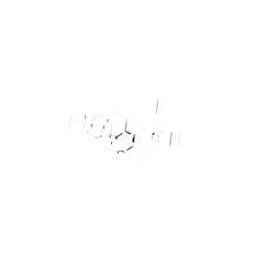 CC(C)(C)Cc1ccnc2c1CCC1CNCCN21